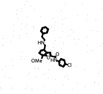 COc1ccc(CNCCc2ccccc2)c2cc(C(=O)Nc3ccc(Cl)cc3)oc12